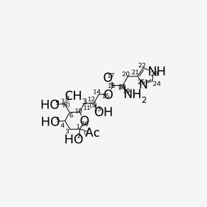 CC(=O)C1(O)CC(O)C([C@@H](C)O)C(C[C@H](O)COC(=O)[C@H](N)Cc2c[nH]cn2)O1